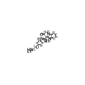 CCNCCOc1ccc(NC(=O)C2=C3N(CC)c4ccccc4N3CCC2=O)cc1